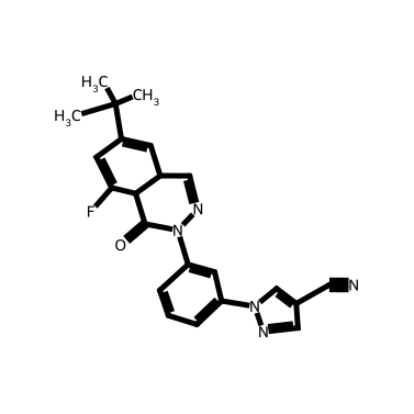 CC(C)(C)C1=CC2C=NN(c3cccc(-n4cc(C#N)cn4)c3)C(=O)C2C(F)=C1